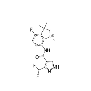 C[C@H]1CC(C)(C)c2c(F)ccc(NC(=O)c3c[nH]nc3C(F)F)c21